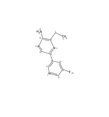 CCc1nc(-c2cncc(F)c2)cnc1N